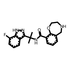 CC(C)(NC(=O)c1cccc2c1OCCNC2)c1n[nH]c2c(F)cccc12